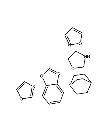 C1CN2CCC1CC2.C1COCN1.c1ccc2ocnc2c1.c1cnoc1.c1cocn1